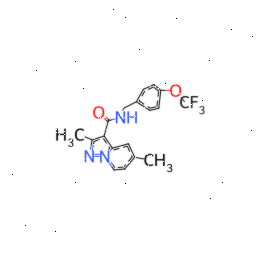 Cc1ccn2nc(C)c(C(=O)NCc3ccc(OC(F)(F)F)cc3)c2c1